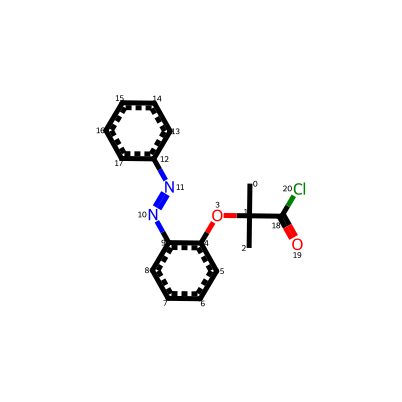 CC(C)(Oc1ccccc1N=Nc1ccccc1)C(=O)Cl